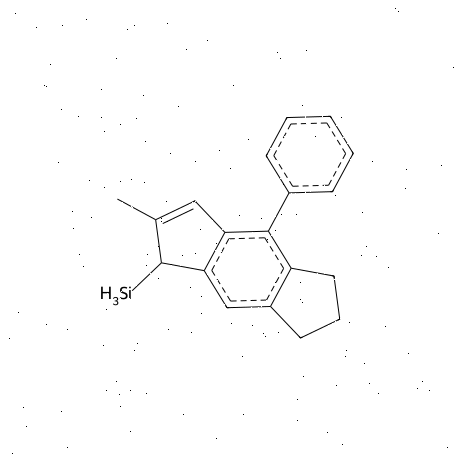 CC1=Cc2c(cc3c(c2-c2ccccc2)CCC3)C1[SiH3]